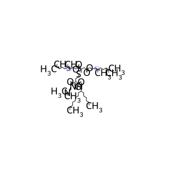 CCCCCCCCC(CCCCCC)COC(=O)C(CCSCC(CC(=O)OC/C=C(\C)CCC=C(C)C)C(=O)OC/C=C(\C)CCC=C(C)C)C(=O)NCCN(C)C